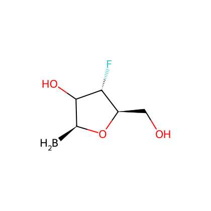 B[C@@H]1O[C@H](CO)[C@@H](F)C1O